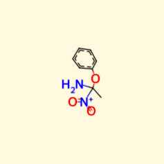 CC(N)(Oc1ccccc1)[N+](=O)[O-]